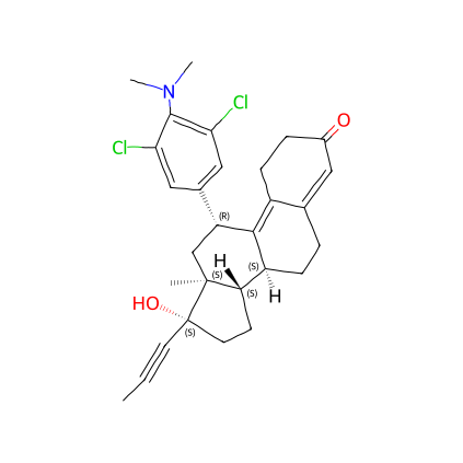 CC#C[C@]1(O)CC[C@H]2[C@@H]3CCC4=CC(=O)CCC4=C3[C@@H](c3cc(Cl)c(N(C)C)c(Cl)c3)C[C@@]21C